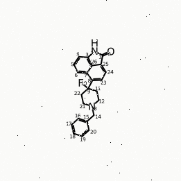 O=C1Nc2cccc3c(C4(F)CCN(Cc5ccccc5)CC4)ccc1c23